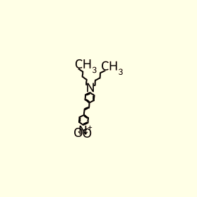 CCCCCCN(CCCCCC)c1ccc(/C=C/c2ccc([N+](=O)[O-])cc2)cc1